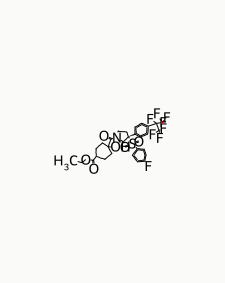 CCOC(=O)C1CCC(O)(C(=O)N2CC[C@](c3ccc(C(F)(C(F)(F)F)C(F)(F)F)cc3)(S(=O)(=O)c3ccc(F)cc3)C2)CC1